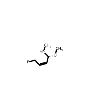 CO[C@H](/C=C\CF)PC